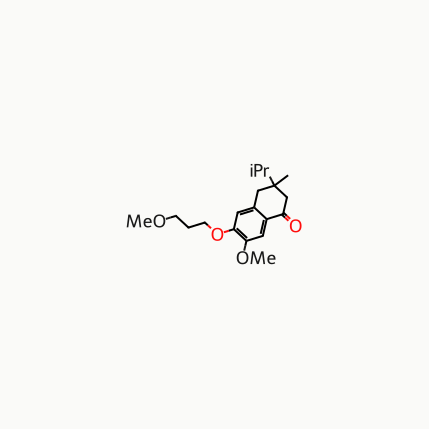 COCCCOc1cc2c(cc1OC)C(=O)CC(C)(C(C)C)C2